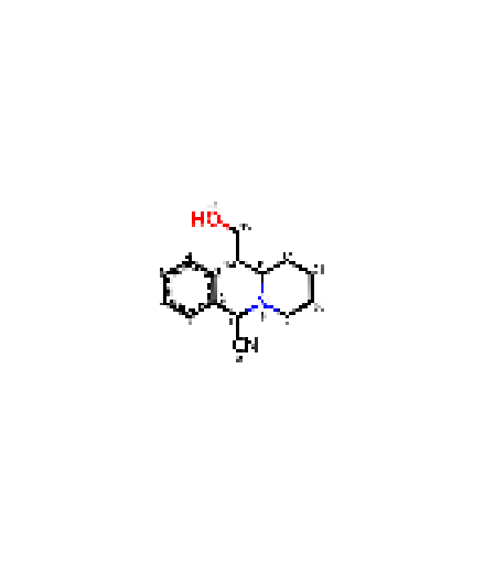 N#CC(c1ccccc1)N1CCCCC1CCO